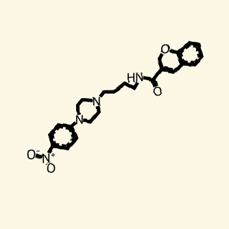 O=C(NCCCCN1CCN(c2ccc([N+](=O)[O-])cc2)CC1)C1=Cc2ccccc2OC1